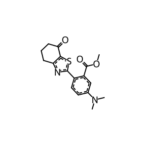 COC(=O)c1cc(N(C)C)ccc1-c1nc2c(s1)C(=O)CCC2